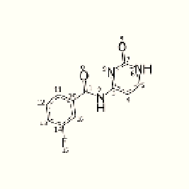 O=C(Nc1cc[nH]c(=O)n1)c1cccc(F)c1